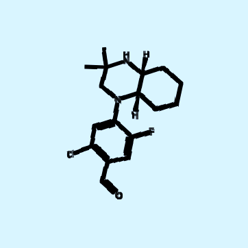 CC1(C)CN(c2cc(Cl)c(C=O)cc2F)[C@H]2CCCC[C@H]2N1